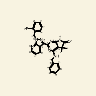 CC1(C)C(=O)Nc2nc(-c3nn(Cc4ccccc4F)c4ncccc34)nc(NCc3ccccc3)c21